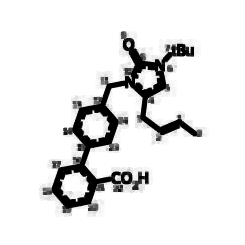 C/C=C/Cc1cn(C(C)(C)C)c(=O)n1Cc1ccc(-c2ccccc2C(=O)O)cc1